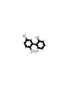 O=C(O)c1ccc(Br)cc1-c1ccccc1Cl